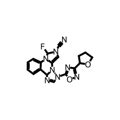 N#CN1C=C2N(c3ccccc3C3N=CN(c4nc(C5CCCO5)no4)N23)C1F